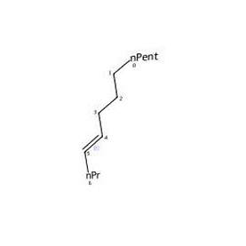 C[CH]CCCCCC/C=C/CCC